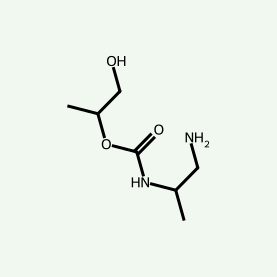 CC(CN)NC(=O)OC(C)CO